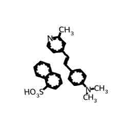 Cc1cc(C=Cc2ccc(N(C)C)cc2)ccn1.O=S(=O)(O)c1cccc2ccccc12